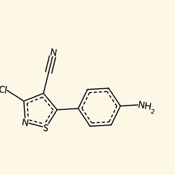 N#Cc1c(Cl)nsc1-c1ccc(N)cc1